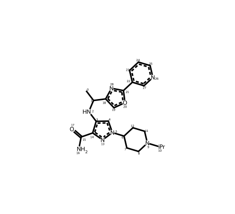 CC(Nc1cn(C2CCN(C(C)C)CC2)nc1C(N)=O)c1coc(-c2cccnc2)n1